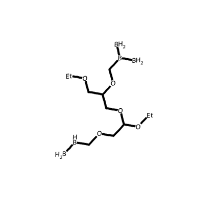 BBCOCC(OCC)OCC(COCC)OCB(B)B